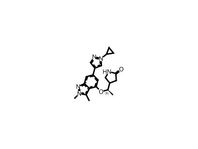 Cc1c2c(O[C@H](C)C3CNC(=O)C3)cc(-c3cnn(C4CC4)c3)cc2nn1C